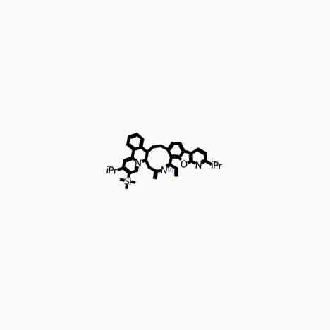 C=C/C1=N/C(=C)CC2C(CCc3ccc4c(oc5nc(C(C)C)ccc54)c31)c1ccccc1-c1cc(C(C)C)c([Si](C)(C)C)c[n+]12